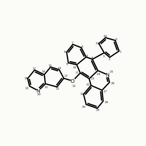 c1ccc(-c2c3ccccc3c(Oc3ccc4cccnc4c3)c3c2ncc2ccccc23)cc1